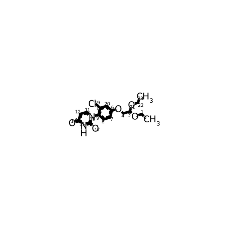 CCOC(COc1ccc(-n2ccc(=O)[nH]c2=O)c(Cl)c1)OCC